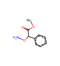 CC(C)(C)OC(=O)C(ON)c1ccccc1